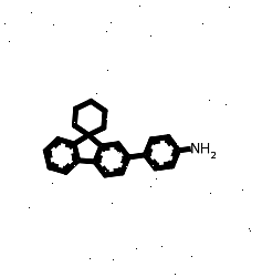 Nc1ccc(-c2ccc3c(c2)C2(CCCCC2)c2ccccc2-3)cc1